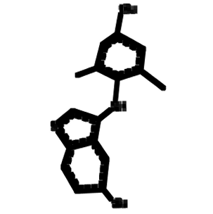 Cc1cc(C(C)(C)C)cc(C)c1Nc1csc2ccc(C(C)(C)C)cc12